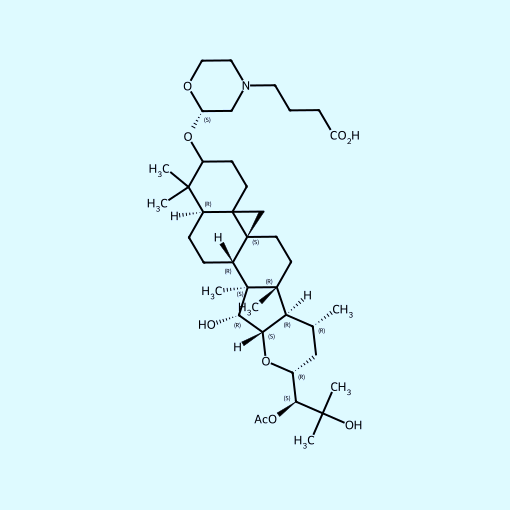 CC(=O)O[C@@H]([C@H]1C[C@@H](C)[C@H]2[C@H](O1)[C@H](O)[C@@]1(C)[C@@H]3CC[C@H]4C(C)(C)C(O[C@H]5CN(CCCC(=O)O)CCO5)CCC45C[C@@]35CC[C@]21C)C(C)(C)O